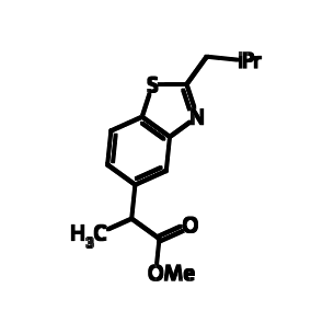 COC(=O)C(C)c1ccc2sc(CC(C)C)nc2c1